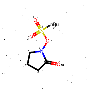 CCCCS(=O)(=O)ON1CCCC1=O